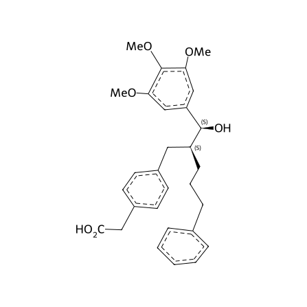 COc1cc([C@@H](O)[C@@H](CCCc2ccccc2)Cc2ccc(CC(=O)O)cc2)cc(OC)c1OC